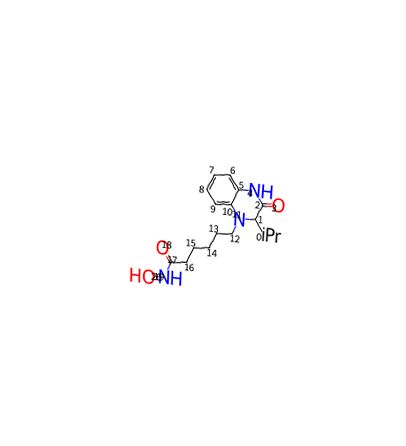 CC(C)C1C(=O)Nc2ccccc2N1CCCCCC(=O)NO